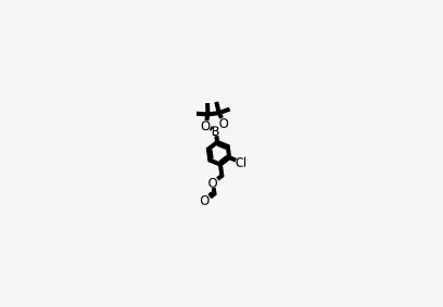 CC1(C)OB(c2ccc(COC=O)c(Cl)c2)OC1(C)C